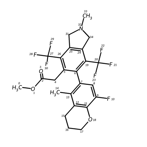 COC(=O)Cc1c(-c2cc(F)c3c(c2C)CCCO3)c(C(F)(F)F)c2c(c1C(F)(F)F)CN(C)C2